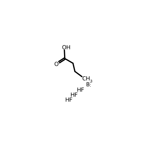 CCCC(=O)O.F.F.F.[B]